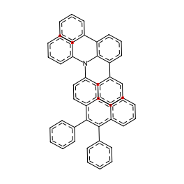 c1ccc(-c2cccc(-c3ccccc3)c2N(c2ccccc2)c2ccc3c(-c4ccccc4)c(-c4ccccc4)c4ccccc4c3c2)cc1